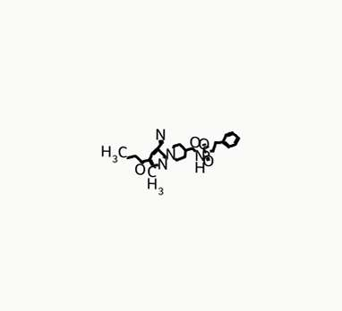 CCCC(=O)c1cc(C#N)c(N2CCC(C(=O)NS(=O)(=O)CCc3ccccc3)CC2)nc1C